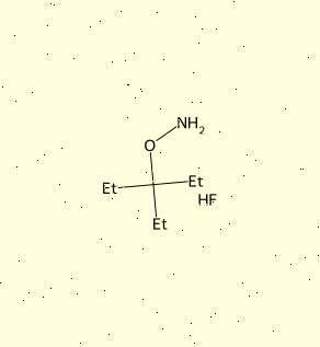 CCC(CC)(CC)ON.F